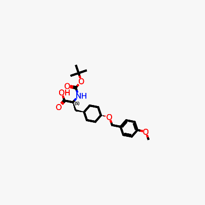 COc1ccc(CO[C@H]2CC[C@H](C[C@H](NC(=O)OC(C)(C)C)C(=O)O)CC2)cc1